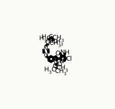 CC(C)(C)OC(=O)n1c(-c2ncc(Cl)c3c2C(=O)NC3)cc2cc(CN3CCN(CCO[Si](C)(C)C(C)(C)C)CC3)ccc21